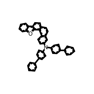 c1ccc(-c2ccc(N(c3ccc(-c4ccccc4)cc3)c3ccc4c(ccc5ccc6c7ccccc7oc6c54)c3)cc2)cc1